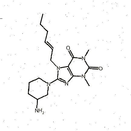 CCC/C=C/Cn1c(N2CCCC(N)C2)nc2c1c(=O)n(C)c(=O)n2C